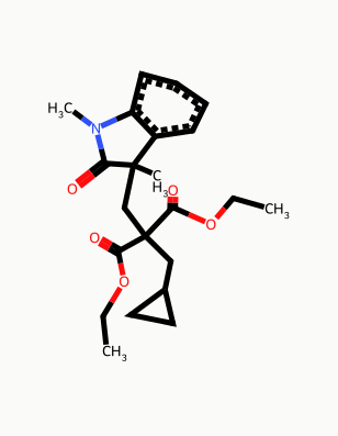 CCOC(=O)C(CC1CC1)(CC1(C)C(=O)N(C)c2ccccc21)C(=O)OCC